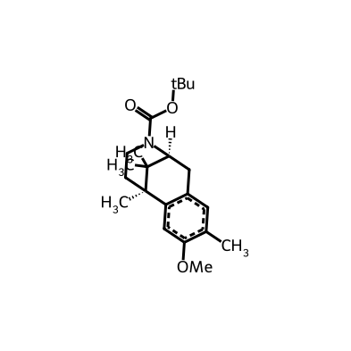 COc1cc2c(cc1C)C[C@@H]1N(C(=O)OC(C)(C)C)CC[C@@]2(C)C1(C)C